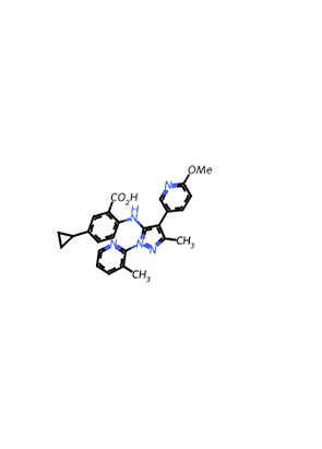 COc1ccc(-c2c(C)nn(-c3ncccc3C)c2Nc2ccc(C3CC3)cc2C(=O)O)cn1